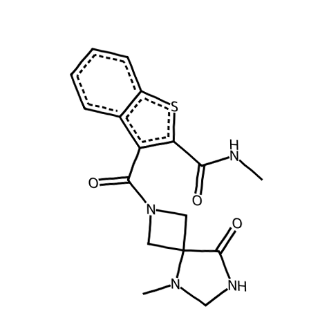 CNC(=O)c1sc2ccccc2c1C(=O)N1CC2(C1)C(=O)NCN2C